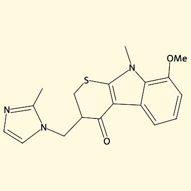 COc1cccc2c3c(n(C)c12)SCC(Cn1ccnc1C)C3=O